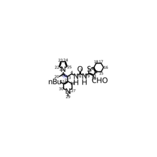 CCCCC1=C(/C(CNC(=O)Nc2sc3c(c2C=O)CCCC3)=C(\C)n2cccc2)CCN(C)C1